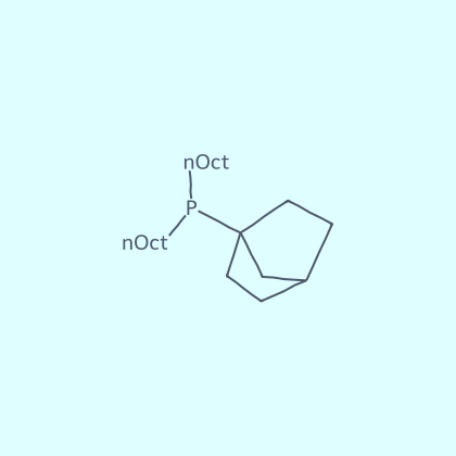 CCCCCCCCP(CCCCCCCC)C12CCC(CC1)C2